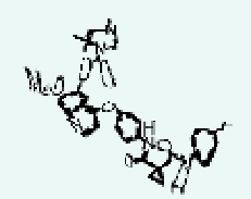 COc1cc2nccc(Oc3ccc(NC(=O)C4(C(=O)Nc5ccc(F)cc5)CC4)cc3)c2cc1OC(=O)N1CCN(C)CC1(C)C